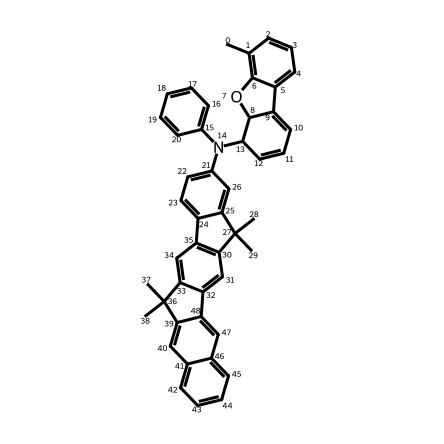 Cc1cccc2c1OC1C2=CC=CC1N(c1ccccc1)c1ccc2c(c1)C(C)(C)c1cc3c(cc1-2)C(C)(C)c1cc2ccccc2cc1-3